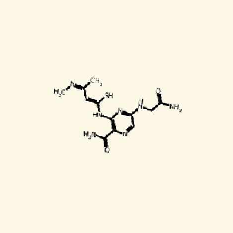 C/N=C(C)\C=C(/S)Nc1nc(NCC(N)=O)cnc1C(N)=O